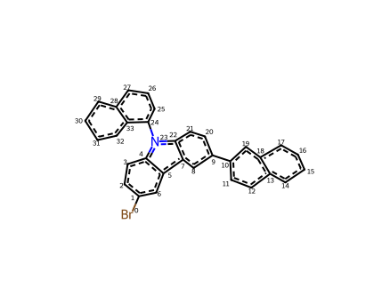 Brc1ccc2c(c1)c1cc(-c3ccc4ccccc4c3)ccc1n2-c1cccc2ccccc12